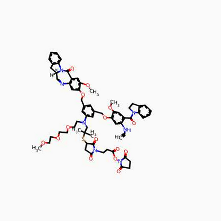 C#CNc1cc(OCc2cc(COc3cc4c(cc3OC)C(=O)N3c5ccccc5C[C@H]3C=N4)cc(N(CCOCCOCCOC)CC(C)(C)SC3CC(=O)N(CCC(=O)ON4C(=O)CCC4=O)C3=O)c2)c(OC)cc1C(=O)N1CCc2ccccc21